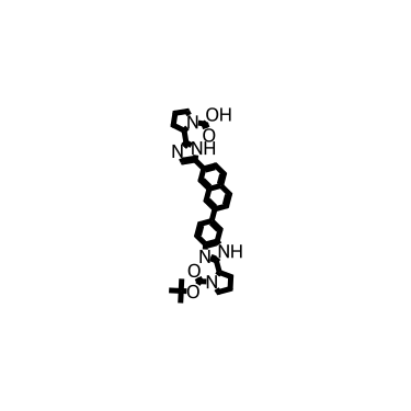 CC(C)(C)OC(=O)N1CCCC1c1nc2ccc(-c3ccc4ccc(-c5cnc(C6CCCN6C(=O)O)[nH]5)cc4c3)cc2[nH]1